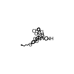 C#CCCCCOc1ccc(S(=O)(=O)n2cc(NC(=O)c3c(Cl)cccc3Cl)c(C(=O)NC3CCNCC3)n2)cc1